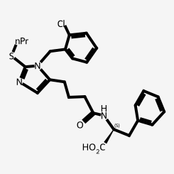 CCCSc1ncc(CCCC(=O)N[C@@H](Cc2ccccc2)C(=O)O)n1Cc1ccccc1Cl